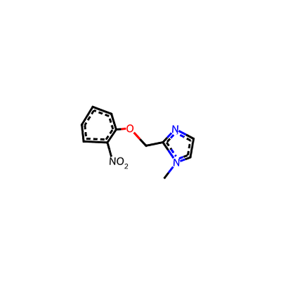 Cn1ccnc1COc1ccccc1[N+](=O)[O-]